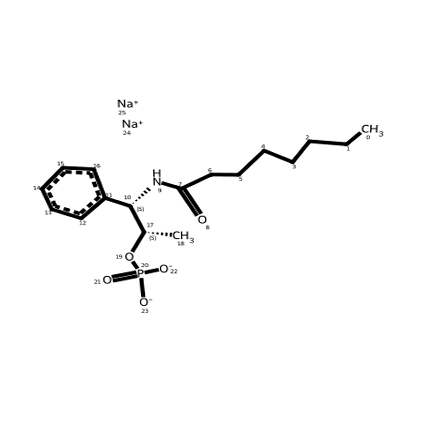 CCCCCCCC(=O)N[C@@H](c1ccccc1)[C@H](C)OP(=O)([O-])[O-].[Na+].[Na+]